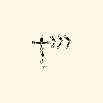 CCP(=O)(O)CC.O=P[O-].O=P[O-].O=P[O-].O=P[O-].[Ti+4]